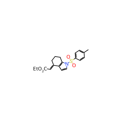 CCOC(=O)/C=C1\CCCc2c1ccn2S(=O)(=O)c1ccc(C)cc1